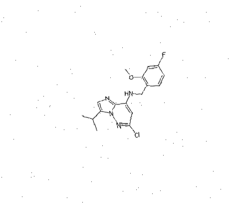 COc1cc(F)ccc1CNc1cc(Cl)nn2c(C(C)C)cnc12